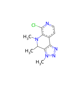 CC1c2c(nnn2C)-c2ccnc(Cl)c2N1C